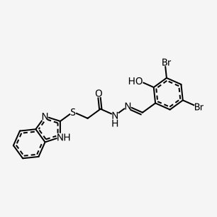 O=C(CSc1nc2ccccc2[nH]1)N/N=C/c1cc(Br)cc(Br)c1O